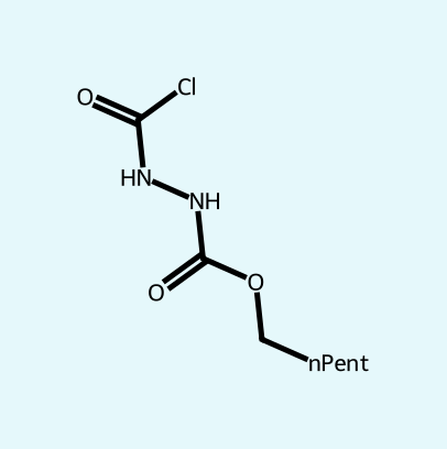 CCCCCCOC(=O)NNC(=O)Cl